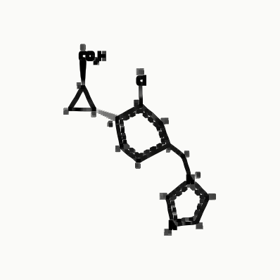 O=C(O)[C@@H]1C[C@H]1c1ccc(Cn2ccnc2)cc1Cl